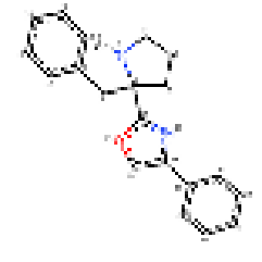 CC(=O)N1CCCC1(Cc1ccccc1)c1nc(-c2ccccc2)co1